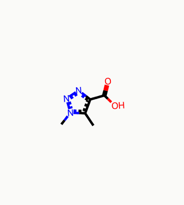 Cc1c(C(=O)O)nnn1C